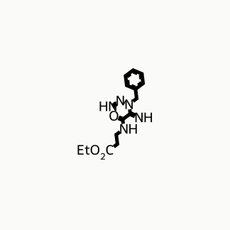 CCOC(=O)CCNC(=O)C(=N)N(Cc1ccccc1)N=N